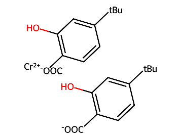 CC(C)(C)c1ccc(C(=O)[O-])c(O)c1.CC(C)(C)c1ccc(C(=O)[O-])c(O)c1.[Cr+2]